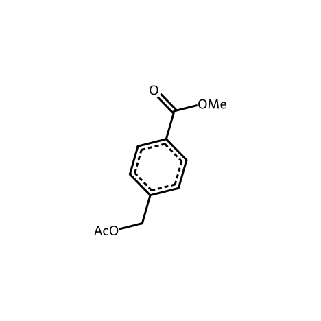 COC(=O)c1ccc(COC(C)=O)cc1